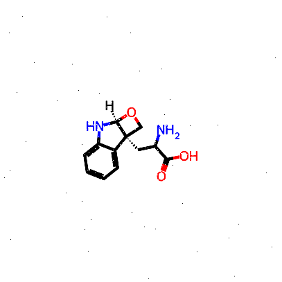 NC(C[C@@]12CO[C@@H]1Nc1ccccc12)C(=O)O